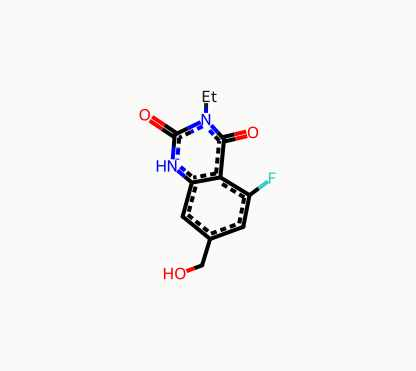 CCn1c(=O)[nH]c2cc(CO)cc(F)c2c1=O